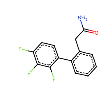 NC(=O)Cc1ccccc1-c1ccc(F)c(F)c1F